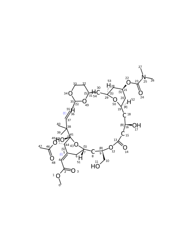 COC(=O)/C=C1\C[C@H]2C[C@H](CO)OC(=O)C[C@H](O)C[C@@H]3C[C@H](OC(=O)N(C)C)C[C@H](C[C@@H]4CCO[C@H](/C=C/C(C)(C)[C@](O)(O2)[C@H]1OC(C)=O)O4)O3